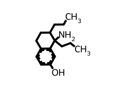 CCCC1CCc2ccc(O)cc2C1(N)CCC